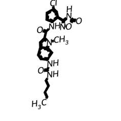 CCCCCNC(=O)Nc1ccc2cc(C(=O)Nc3ccc(Cl)cc3-c3noc(=O)[nH]3)n(C)c2c1